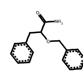 NC(=O)C(Cc1ccccc1)OCc1cccnc1